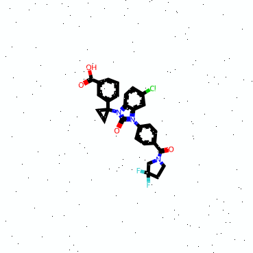 O=C(O)c1cccc(C2(n3c(=O)n(-c4ccc(C(=O)N5CCC(F)(F)C5)cc4)c4cc(Cl)ccc43)CC2)c1